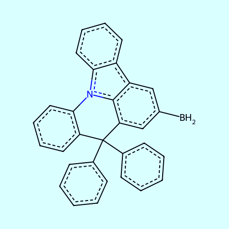 Bc1cc2c3c(c1)c1ccccc1n3-c1ccccc1C2(c1ccccc1)c1ccccc1